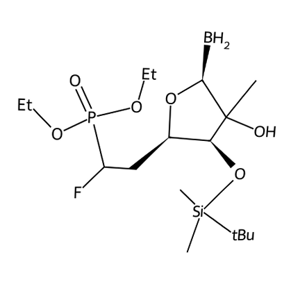 B[C@@H]1O[C@H](CC(F)P(=O)(OCC)OCC)[C@H](O[Si](C)(C)C(C)(C)C)C1(C)O